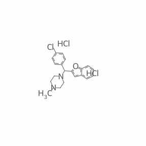 CN1CCN(C(c2ccc(Cl)cc2)c2cc3ccccc3o2)CC1.Cl.Cl